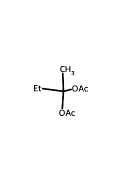 CCC(C)(OC(C)=O)OC(C)=O